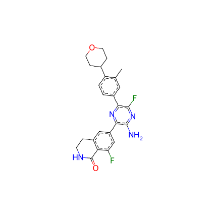 Cc1cc(-c2nc(-c3cc(F)c4c(c3)CCNC4=O)c(N)nc2F)ccc1C1CCOCC1